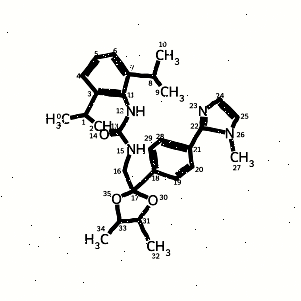 CC(C)c1cccc(C(C)C)c1NC(=O)NCC1(c2ccc(-c3nccn3C)cc2)OC(C)C(C)O1